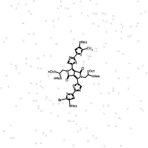 CCCCCCCCC(CCCCCC)CN1C(=O)C2=C(c3cnc(-c4cc(CCCCCC)c(Br)s4)s3)N(CC(CCCCCC)CCCCCCCC)C(=O)C2=C1c1cnc(-c2cc(CCCCCC)c(C)s2)s1